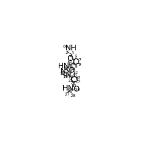 CNCCOc1ccccc1C(C)(C)Nc1nccn(-c2cc(C(=O)NC(C)C)ccc2C)c1=O